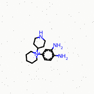 Nc1ccc([N+]2(C3CCNCC3)CCCCC2)cc1N